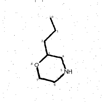 [CH2]CCC1CNCCO1